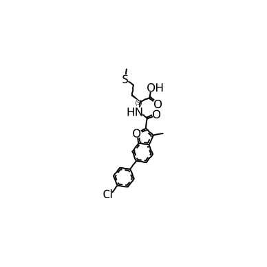 CSCC[C@H](NC(=O)c1oc2cc(-c3ccc(Cl)cc3)ccc2c1C)C(=O)O